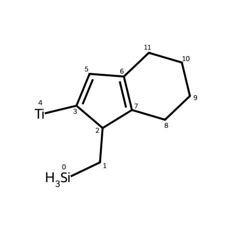 [SiH3]CC1[C]([Ti])=CC2=C1CCCC2